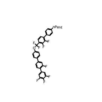 CCCCCc1ccc(-c2ccc(C(F)(F)Oc3ccc(-c4ccc(-c5cc(F)c(F)c(F)c5)c(F)c4)cc3)c(F)c2F)cc1